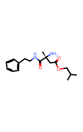 CC(C)COC(=O)C[C@@](C)(N)C(=O)NCCc1ccccc1